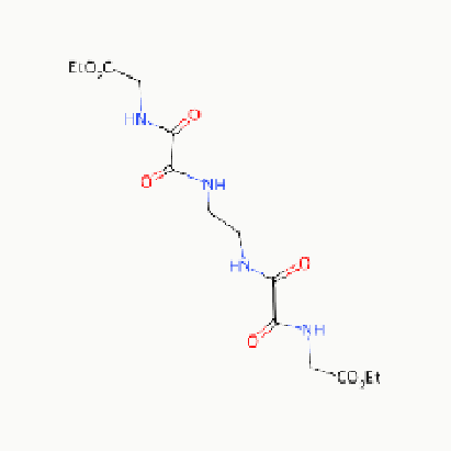 CCOC(=O)CNC(=O)C(=O)NCCNC(=O)C(=O)NCC(=O)OCC